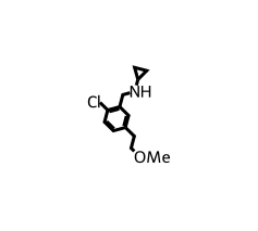 COCCc1ccc(Cl)c(CNC2CC2)c1